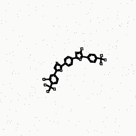 Clc1cc(-c2cnc(-c3ccc(-c4nc(Cl)c(-c5ccc(C(Cl)(Cl)Cl)cc5)o4)cc3)o2)ccc1C(Cl)(Cl)Cl